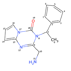 CC(c1ccccc1)n1c(CN)nc2cccn2c1=O